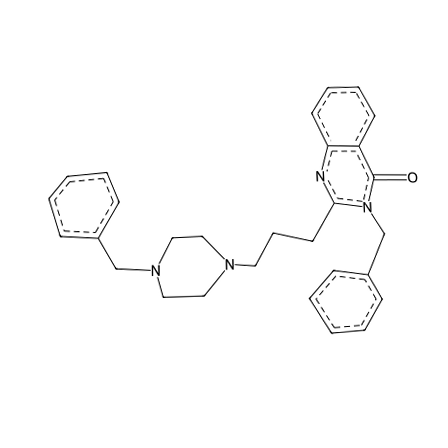 O=c1c2ccccc2nc(CCCN2CCN(Cc3ccccc3)CC2)n1Cc1ccccc1